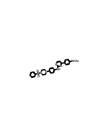 CC(=O)Nc1ccc(-c2ccnc(Nc3ccc(N4CCN(S(=O)(=O)c5ccccc5)CC4)cc3)n2)cc1